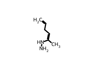 C=CC/C=C(/C)NN